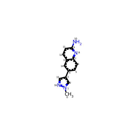 Cn1cc(-c2ccc3nc(N)ccc3c2)cn1